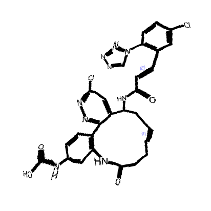 O=C(O)Nc1ccc2c(c1)NC(=O)CC/C=C/CC(NC(=O)/C=C/c1cc(Cl)ccc1-n1cnnn1)c1cc(Cl)nnc1-2